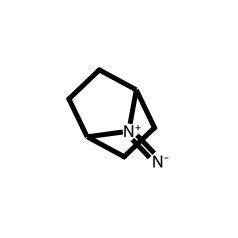 [N-]=[N+]1C2CCC1CC2